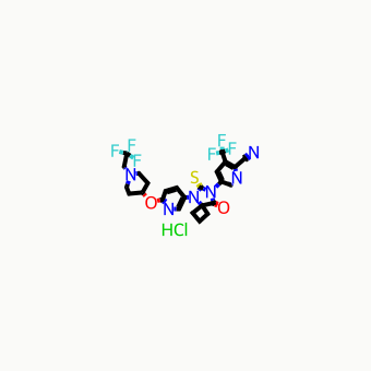 Cl.N#Cc1ncc(N2C(=O)C3(CCC3)N(c3ccc(OC4CCN(CC(F)(F)F)CC4)nc3)C2=S)cc1C(F)(F)F